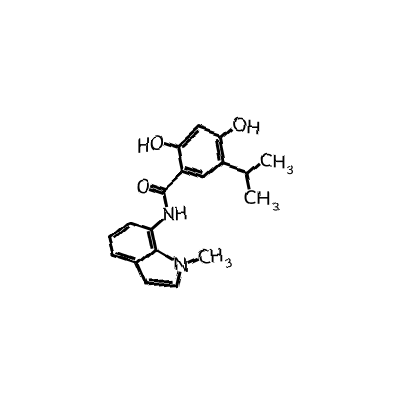 CC(C)c1cc(C(=O)Nc2cccc3ccn(C)c23)c(O)cc1O